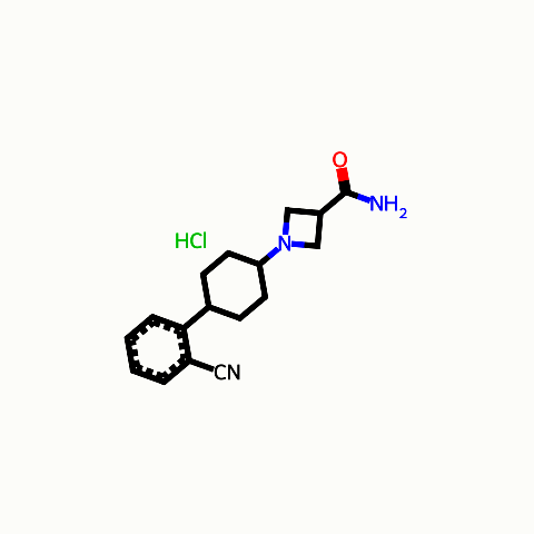 Cl.N#Cc1ccccc1C1CCC(N2CC(C(N)=O)C2)CC1